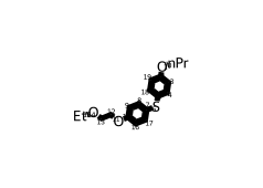 CCCOc1ccc(Sc2ccc(OCCOCC)cc2)cc1